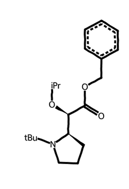 CC(C)O[C@@H](C(=O)OCc1ccccc1)[C@H]1CCCN1C(C)(C)C